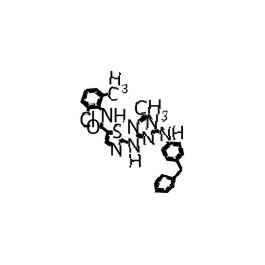 Cc1nc(Nc2ccc(Cc3ccccc3)cc2)nc(Nc2ncc(C(=O)Nc3c(C)cccc3Cl)s2)n1